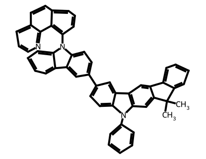 CC1(C)c2ccccc2-c2cc3c4cc(-c5ccc6c(c5)c5ccccc5n6-c5cccc6ccc7cccnc7c56)ccc4n(-c4ccccc4)c3cc21